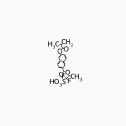 C=C(C)C(=O)Oc1ccc2cc(C(=O)OC(C)C(F)(F)S(=O)(=O)O)ccc2c1